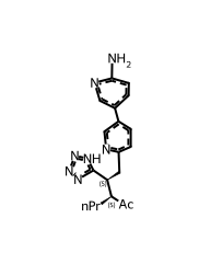 CCC[C@H](C(C)=O)[C@H](Cc1ccc(-c2ccc(N)nc2)cn1)c1nnn[nH]1